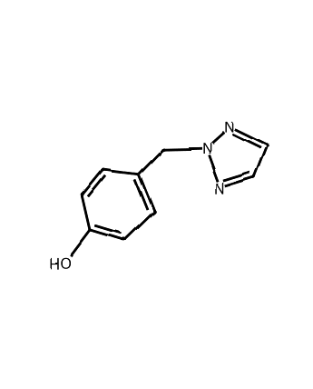 Oc1ccc(Cn2nccn2)cc1